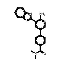 CN(C)C(=O)c1ccc(-c2cnc(N)c(-c3nc4ccccc4s3)c2)cc1